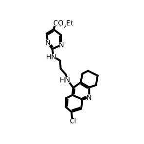 CCOC(=O)c1cnc(NCCCNc2c3c(nc4cc(Cl)ccc24)CCCC3)nc1